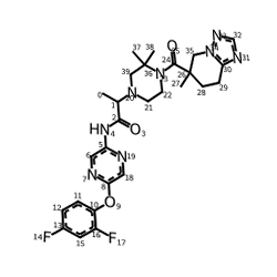 CC(C(=O)Nc1cnc(Oc2ccc(F)cc2F)cn1)N1CCN(C(=O)C2(C)CCc3ncnn3C2)C(C)(C)C1